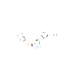 COc1ccc(S(=O)(=O)c2c[nH]c3ccc(Oc4c(Cl)cc(C)cc4Cl)cc23)cc1